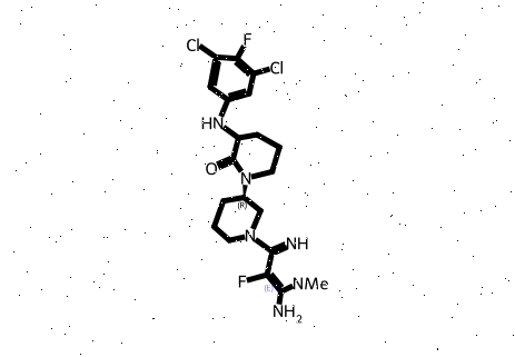 CN/C(N)=C(/F)C(=N)N1CCC[C@@H](N2CCCC(Nc3cc(Cl)c(F)c(Cl)c3)C2=O)C1